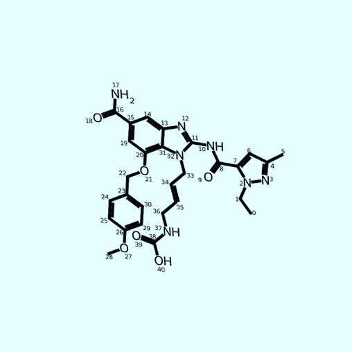 CCn1nc(C)cc1C(=O)Nc1nc2cc(C(N)=O)cc(OCc3ccc(OC)cc3)c2n1CC=CCNC(=O)O